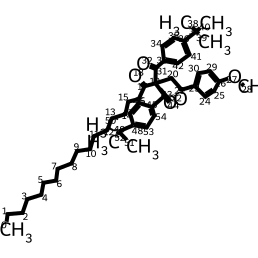 CCCCCCCCCCCCCCCCCC(=O)C(CC(=O)c1ccc(OC)cc1)(C(=O)c1ccc(C(C)(C)C)cc1)C(=O)c1ccc(C(C)(C)C)cc1